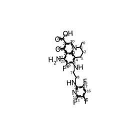 CC1CCc2c(NCCNc3nc(F)c(F)cc3F)c(F)c(N)c3c(=O)c(C(=O)O)cn1c23